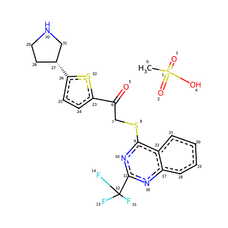 CS(=O)(=O)O.O=C(CSc1nc(C(F)(F)F)nc2ccccc12)c1ccc([C@@H]2CCNC2)s1